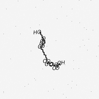 CC(O)C(=O)OC(=O)c1ccc(C(=O)OC(=O)CCCCCCCCC(=O)OC(=O)/C=C\C(=O)OCCCCO)cc1